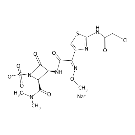 CON=C(C(=O)N[C@@H]1C(=O)N(S(=O)(=O)[O-])[C@@H]1C(=O)N(C)C)c1csc(NC(=O)CCl)n1.[Na+]